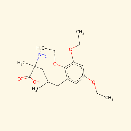 CCOc1cc(CC(C)CC(C)(N)C(=O)O)c(OCC)c(OCC)c1